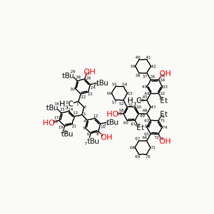 CC(CC(c1cc(C(C)(C)C)c(O)c(C(C)(C)C)c1)c1cc(C(C)(C)C)c(O)c(C(C)(C)C)c1)c1cc(C(C)(C)C)c(O)c(C(C)(C)C)c1.CCc1cc(O)c(C2CCCCC2)cc1C(C)CC(c1cc(C2CCCCC2)c(O)cc1CC)c1cc(C2CCCCC2)c(O)cc1CC